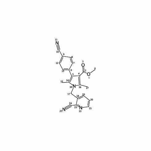 COC(=O)c1c(-c2ccc(C#N)cc2)c(C)n(Cc2cccnc2C#N)c1C